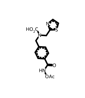 CC(=O)ONC(=O)c1ccc(CN(Cc2nccs2)C(=O)O)cc1